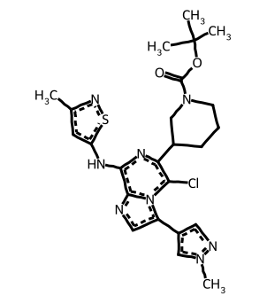 Cc1cc(Nc2nc(C3CCCN(C(=O)OC(C)(C)C)C3)c(Cl)n3c(-c4cnn(C)c4)cnc23)sn1